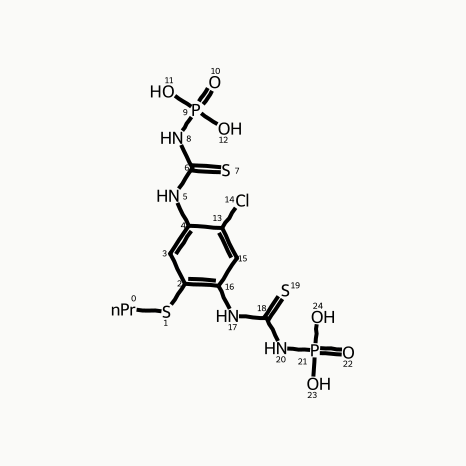 CCCSc1cc(NC(=S)NP(=O)(O)O)c(Cl)cc1NC(=S)NP(=O)(O)O